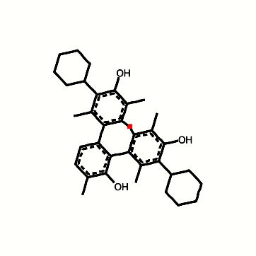 Cc1ccc(-c2c(C)c(C)c(O)c(C3CCCCC3)c2C)c(-c2c(C)c(C)c(O)c(C3CCCCC3)c2C)c1O